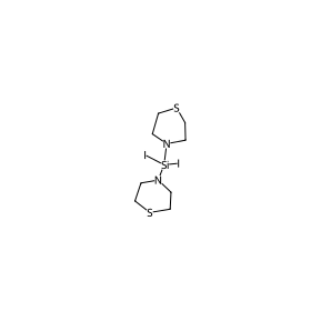 I[Si](I)(N1CCSCC1)N1CCSCC1